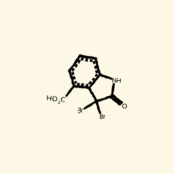 O=C(O)c1cccc2c1C(Br)(Br)C(=O)N2